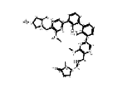 COc1nc(-c2cccc(-c3cccc(-c4cnc(CN5C[C@H](O)C[C@H]5C)c(OC)n4)c3Cl)c2Cl)cnc1CNC[C@@H]1CCC(=O)N1